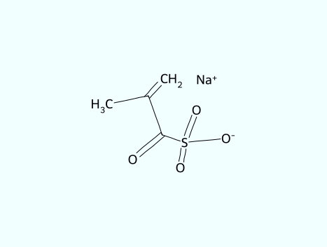 C=C(C)C(=O)S(=O)(=O)[O-].[Na+]